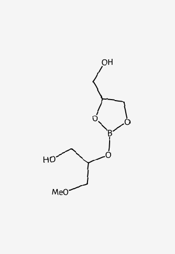 COCC(CO)OB1OCC(CO)O1